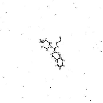 CCCCC(C1COc2ccccc2O1)N1CCC(=O)CC1